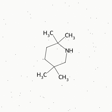 CC1(C)[CH]CC(C)(C)NC1